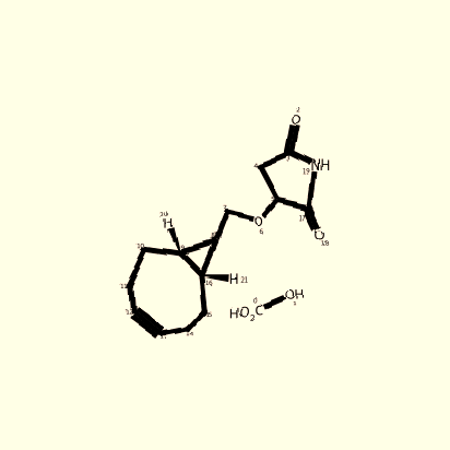 O=C(O)O.O=C1CC(OCC2[C@H]3CCC#CCC[C@@H]23)C(=O)N1